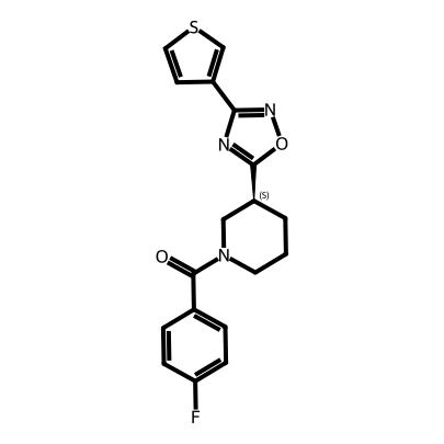 O=C(c1ccc(F)cc1)N1CCC[C@H](c2nc(-c3ccsc3)no2)C1